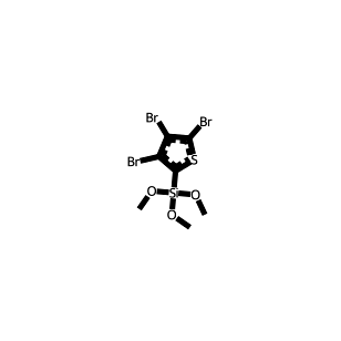 CO[Si](OC)(OC)c1sc(Br)c(Br)c1Br